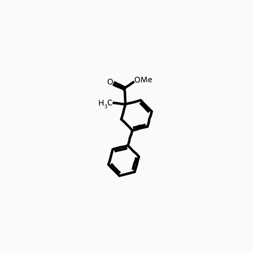 COC(=O)C1(C)C=CC=C(c2ccccc2)C1